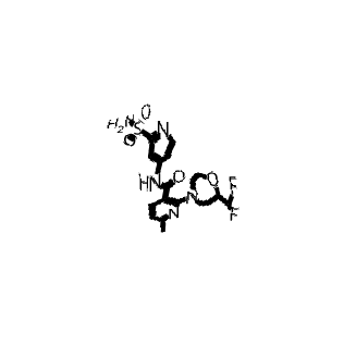 Cc1ccc(C(=O)Nc2ccnc(S(N)(=O)=O)c2)c(N2CCOC(C(F)F)CC2)n1